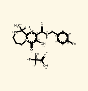 CC1(C)NCCCn2c1nc(C(=O)NCc1ccc(F)cc1)c(O)c2=O.O=C(O)C(F)(F)F